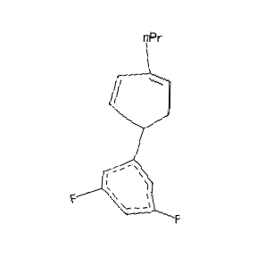 CCCC1=CCC(c2cc(F)cc(F)c2)C=C1